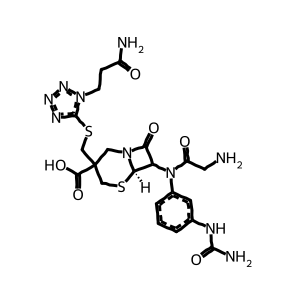 NCC(=O)N(c1cccc(NC(N)=O)c1)C1C(=O)N2CC(CSc3nnnn3CCC(N)=O)(C(=O)O)CS[C@H]12